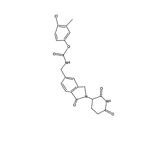 Cc1cc(OC(=O)NCc2ccc3c(c2)CN(C2CCC(=O)NC2=O)C3=O)ccc1Cl